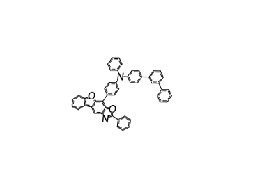 c1ccc(-c2cccc(-c3ccc(N(c4ccccc4)c4ccc(-c5c6oc(-c7ccccc7)nc6cc6c5oc5ccccc56)cc4)cc3)c2)cc1